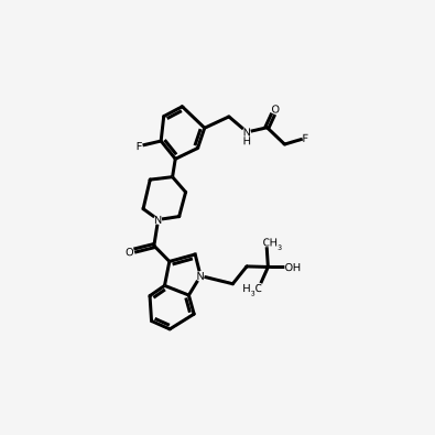 CC(C)(O)CCn1cc(C(=O)N2CCC(c3cc(CNC(=O)CF)ccc3F)CC2)c2ccccc21